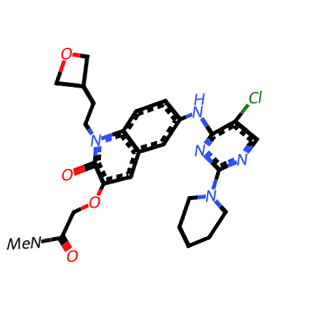 CNC(=O)COc1cc2cc(Nc3nc(N4CCCCC4)ncc3Cl)ccc2n(CCC2COC2)c1=O